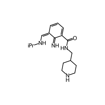 CC(C)N/C=C1/C=CC=C(C(=O)NCC2CCNCC2)C1=N